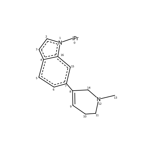 CC(C)n1ccc2ccc(C3=CCCN(C)C3)cc21